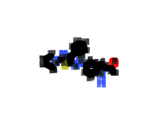 CC(=O)c1cc2cc(/N=N/c3sc(N4CCCC4)nc3-c3ccccc3)ccc2[nH]1